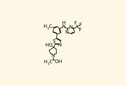 Cc1cc(Nc2nccc(C(F)(F)F)n2)cc(-c2cnc(C3(O)CCN(C(C)O)CC3)s2)c1